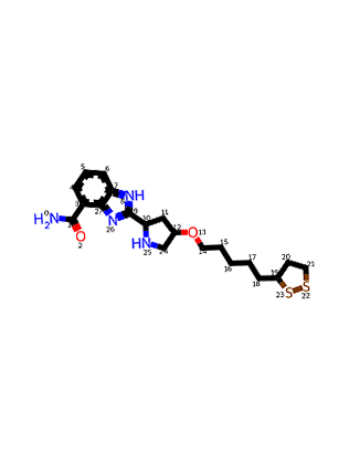 NC(=O)c1cccc2[nH]c(C3CC(OCCCCCC4CCSS4)CN3)nc12